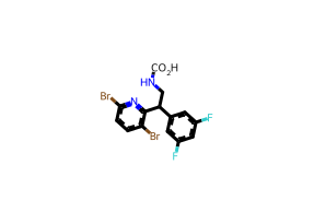 O=C(O)NCC(c1cc(F)cc(F)c1)c1nc(Br)ccc1Br